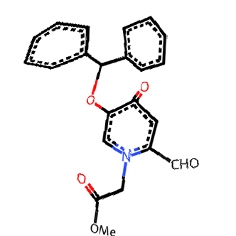 COC(=O)Cn1cc(OC(c2ccccc2)c2ccccc2)c(=O)cc1C=O